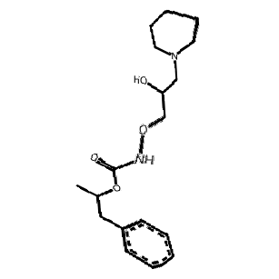 CC(Cc1ccccc1)OC(=O)NOCC(O)CN1CCCCC1